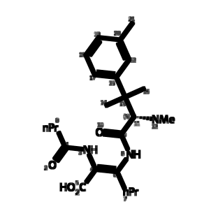 CCCC(=O)NC(C(=O)O)=C(CCC)NC(=O)[C@@H](NC)C(C)(C)c1cccc(C)c1